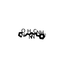 C[C@@](N)(Cc1ccccc1)C1=NN=C(CCN2CCCC2=O)C1